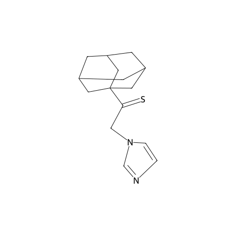 S=C(Cn1ccnc1)C12CC3CC(CC(C3)C1)C2